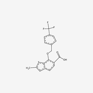 Cc1cc2ccc(C(=O)O)c(OCc3ccc(C(F)(F)F)cc3)c2s1